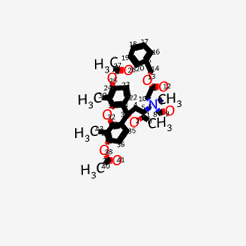 CCOC1(CC[N+](C)(C=O)CC(=O)OCc2ccccc2)c2ccc(OC(C)=O)c(C)c2Oc2c1ccc(OC(C)=O)c2C